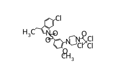 CCc1cn(S(=O)(=O)c2ccc(OC)c(N3CCN(C(=O)C(Cl)(Cl)Cl)CC3)c2)c2cc(Cl)ccc12